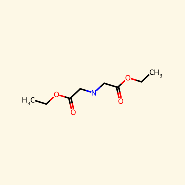 CCOC(=O)C[N]CC(=O)OCC